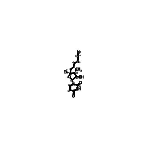 CC[C@@]1(CCCN=[N+]=[N-])O[C@@H](n2ccc(=O)[nH]c2=O)C(O)[C@H]1C